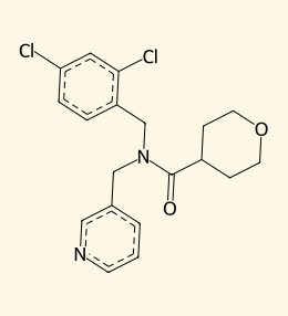 O=C(C1CCOCC1)N(Cc1cccnc1)Cc1ccc(Cl)cc1Cl